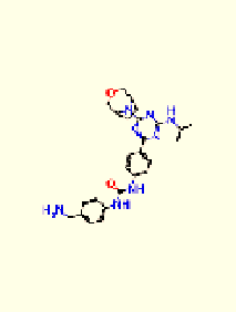 CC(C)Nc1nc(-c2ccc(NC(=O)Nc3ccc(CN)cc3)cc2)nc(N2C3CCC2COC3)n1